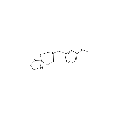 COc1cccc(CN2CCC3(CC2)NCCO3)c1